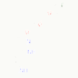 CNc1ccc2c(c1)[nH]c1nc(OCCOCCOCCF)ccc12